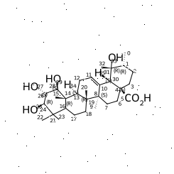 C[C@@H]1CC[C@]2(C(=O)O)CC[C@]3(C)C(=CC[C@@H]4[C@]5(C)C(CC[C@]43C)C(C)(C)[C@@H](O)[C@H](O)[C@H]5O)[C@@H]2[C@]1(C)O